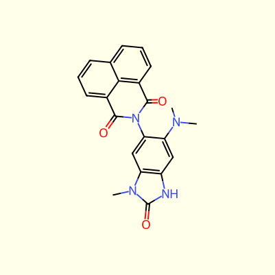 CN(C)c1cc2[nH]c(=O)n(C)c2cc1N1C(=O)c2cccc3cccc(c23)C1=O